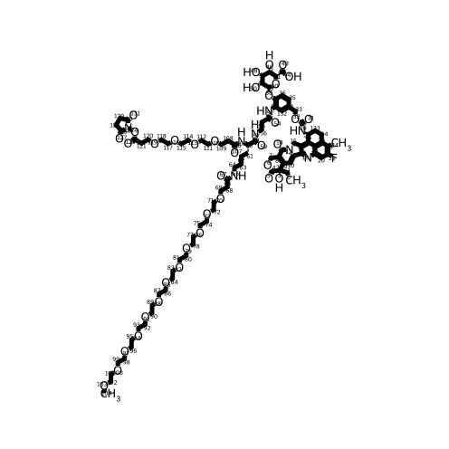 CC[C@@]1(O)C(=O)OCc2c1cc1n(c2=O)Cc2c-1nc1cc(F)c(C)c3c1c2[C@@H](NC(=O)OCc1ccc(O[C@@H]2O[C@H](C(=O)O)[C@@H](O)[C@H](O)[C@H]2O)c(NC(=O)CCNC(=O)[C@H](CCCCNC(=O)CCOCCOCCOCCOCCOCCOCCOCCOCCOCCOCCOCCOC)NC(=O)CCOCCOCCOCCOCCC(=O)ON2C(=O)CCC2=O)c1)CC3